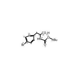 CC(C)(C)OC(=O)NC(Cc1ccc(Br)cn1)C(=O)O